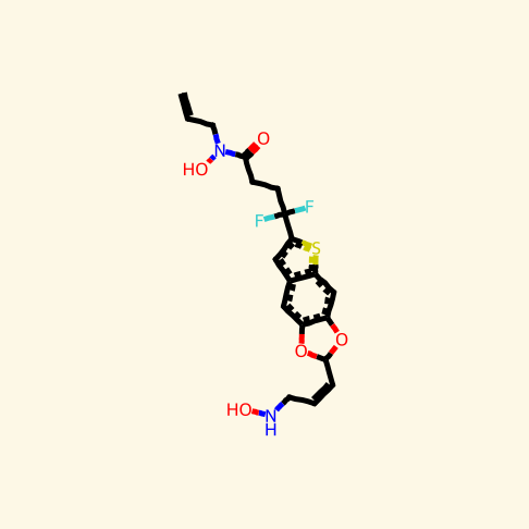 C=CCN(O)C(=O)CCC(F)(F)c1cc2cc3c(cc2s1)OC(/C=C\CNO)O3